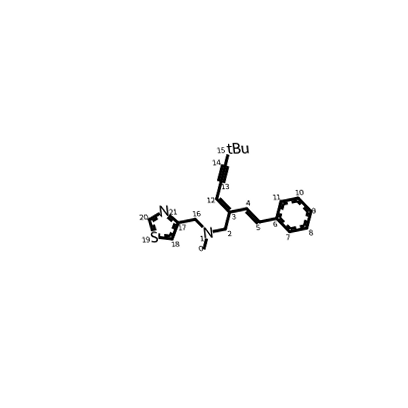 CN(CC(/C=C/c1ccccc1)=C/C#CC(C)(C)C)Cc1cscn1